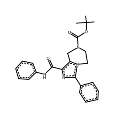 CC(C)(C)OC(=O)N1CCn2c(-c3ccccc3)nc(C(=O)Nc3ccccc3)c2C1